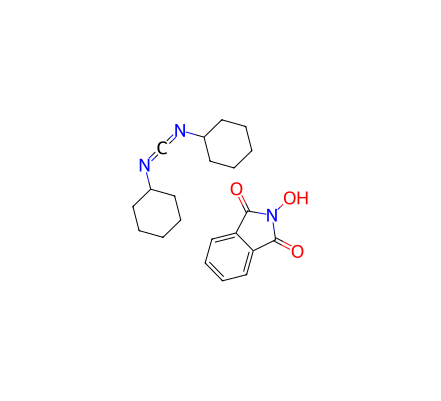 C(=NC1CCCCC1)=NC1CCCCC1.O=C1c2ccccc2C(=O)N1O